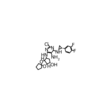 Nc1c(NC2C[C@H](O)[C@H]3OC4(CCCC4)O[C@@H]23)nc(Cl)nc1N[C@@H]1C[C@H]1c1ccc(F)c(F)c1